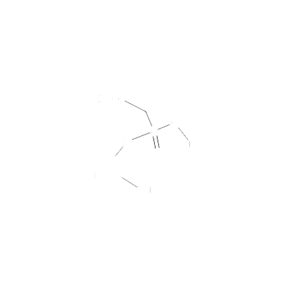 CCOC(=O)CP(=O)(OCC)OCC.CCOC(C)=O